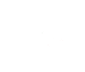 CCS(=O)(=O)Cl.c1ccc(-c2ccccc2)cc1